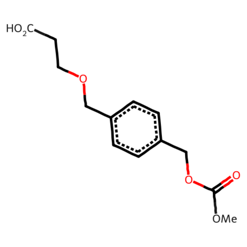 COC(=O)OCc1ccc(COCCC(=O)O)cc1